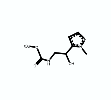 Cn1nccc1C(O)CNC(=O)OC(C)(C)C